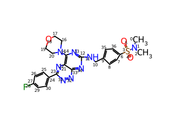 CN(C)S(=O)(=O)c1ccc(CNc2nc(N3CCOCC3)c3nc(-c4ccc(F)cc4)nnc3n2)cc1